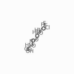 O=C(Nc1ccc(Oc2ccnc(C(=O)NCCS(=O)(=O)O)c2)cc1)Nc1ccc(Cl)c(C(F)(F)F)c1